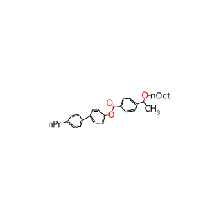 CCCCCCCCOC(C)c1ccc(C(=O)Oc2ccc(-c3ccc(CCC)cc3)cc2)cc1